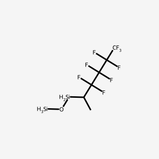 CC([SiH2]O[SiH3])C(F)(F)C(F)(F)C(F)(F)C(F)(F)F